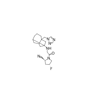 N#C[C@@H]1C[C@@H](F)CN1C(=O)CNC12CC3CC1CCCC3(Cn1cncn1)C2